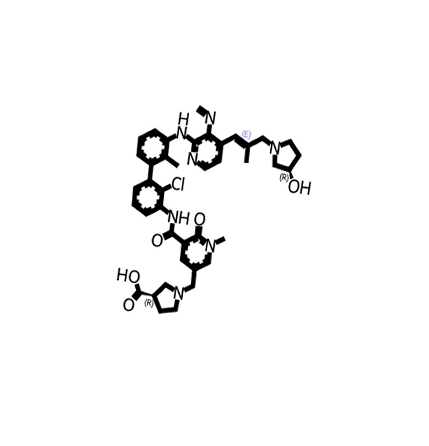 C=Nc1c(/C=C(\C)CN2CC[C@@H](O)C2)ccnc1Nc1cccc(-c2cccc(NC(=O)c3cc(CN4CC[C@@H](C(=O)O)C4)cn(C)c3=O)c2Cl)c1C